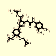 Cc1ccc(NC(=O)Cc2nc(-c3ccc(OC(F)F)c(OCC4CC4)c3)oc2C(C)OC(N)=O)cc1C